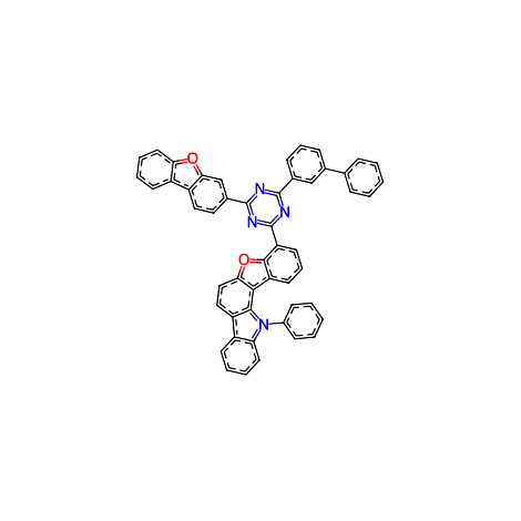 c1ccc(-c2cccc(-c3nc(-c4ccc5c(c4)oc4ccccc45)nc(-c4cccc5c4oc4ccc6c7ccccc7n(-c7ccccc7)c6c45)n3)c2)cc1